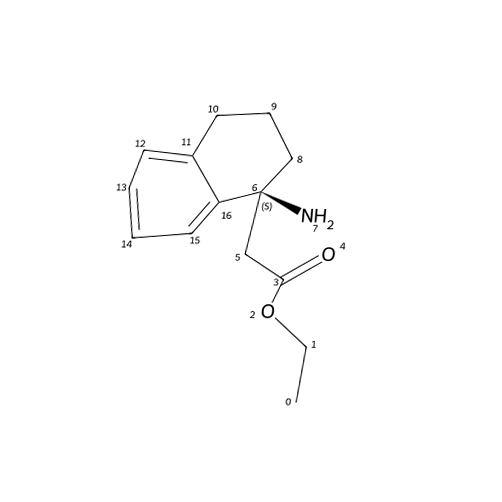 CCOC(=O)C[C@@]1(N)CCCc2ccccc21